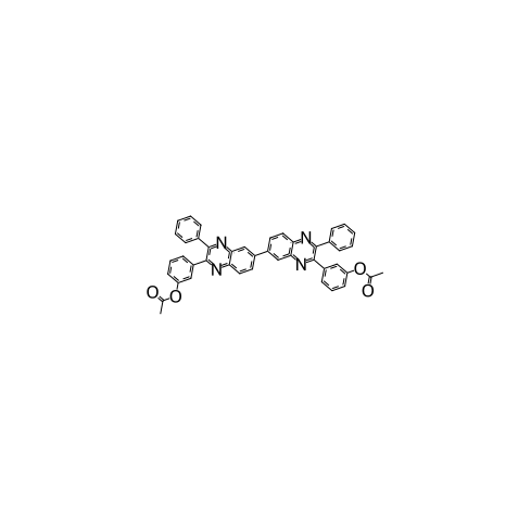 CC(=O)Oc1cccc(-c2nc3ccc(-c4ccc5nc(-c6ccccc6)c(-c6cccc(OC(C)=O)c6)nc5c4)cc3nc2-c2ccccc2)c1